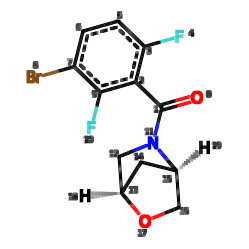 O=C(c1c(F)ccc(Br)c1F)N1C[C@H]2C[C@@H]1CO2